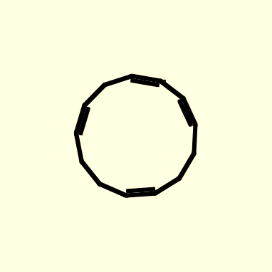 [C]1=CCC=CCCC=CCCC=C1